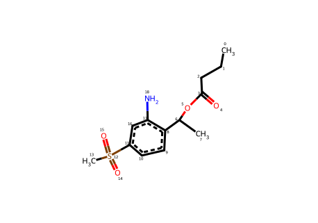 CCCC(=O)OC(C)c1ccc(S(C)(=O)=O)cc1N